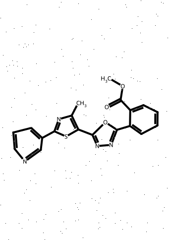 COC(=O)c1ccccc1-c1nnc(-c2sc(-c3cccnc3)nc2C)o1